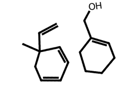 C=CC1(C)C=CC=CC1.OCC1=CCCCC1